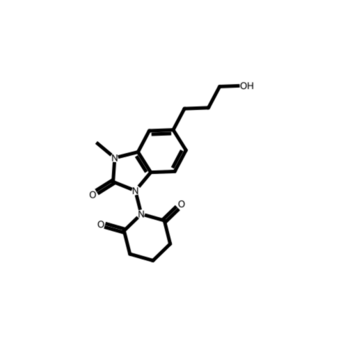 Cn1c(=O)n(N2C(=O)CCCC2=O)c2ccc(CCCO)cc21